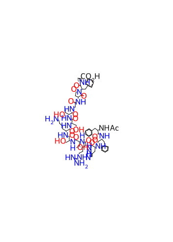 CC(=O)NC(Cc1ccccc1)C(=O)NC(Cc1ccccc1)C(=O)NC(Cc1cnc[nH]1)C(=O)NC(CCCNC(=N)N)C(=O)NC(C(=O)NC(CO)C(=O)NC(CCCCN)C(=O)NC(CO)C(=O)NC(C(=O)NCC(=O)NC1CC(=O)N(C(Cc2ccccc2)C(=O)N[C@@H](C)C(=O)O)C1=O)C(C)O)C(C)O